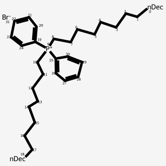 CCCCCCCCCCCCCCCCCC[P+](CCCCCCCCCCCCCCCCCC)(c1ccccc1)c1ccccc1.[Br-]